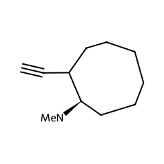 C#CC1CCCCCC[C@H]1NC